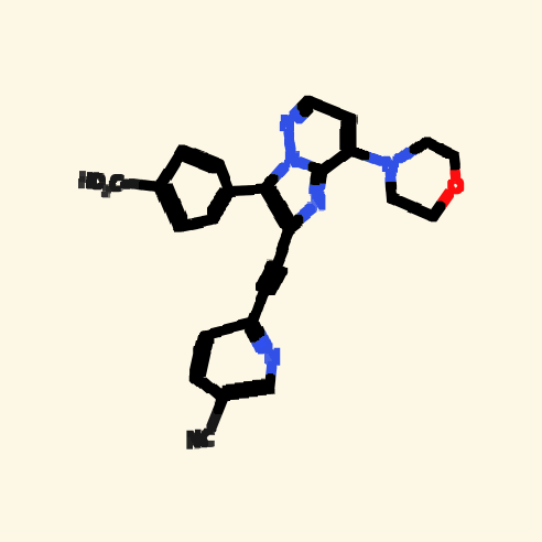 N#Cc1ccc(C#Cc2nc3c(N4CCOCC4)ccnn3c2-c2ccc(C(=O)O)cc2)nc1